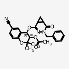 CC(=O)O[C@@H]1[C@H](OC2=NN(Cc3ccccc3)C(=O)C3CC23)c2cc(C#N)ccc2OC1(C)C